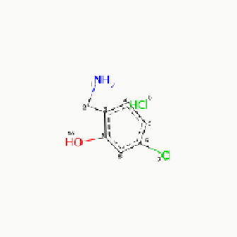 Cl.NCc1ccc(Cl)cc1O